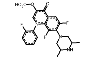 CC1CN(c2c(F)cc3c(=O)c(OC(=O)O)cn(-c4ccccc4F)c3c2F)CC(C)N1